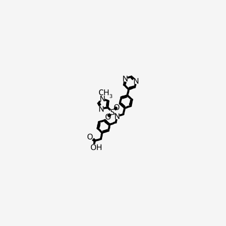 Cn1cnc(S(=O)(=O)N(Cc2ccc(-c3cncnc3)cc2)Cc2cccc(CC(=O)O)c2)c1